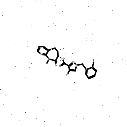 CN1C(=O)[C@@H](NC(=O)c2nn(Cc3ccccc3F)cc2F)CCc2cccnc21